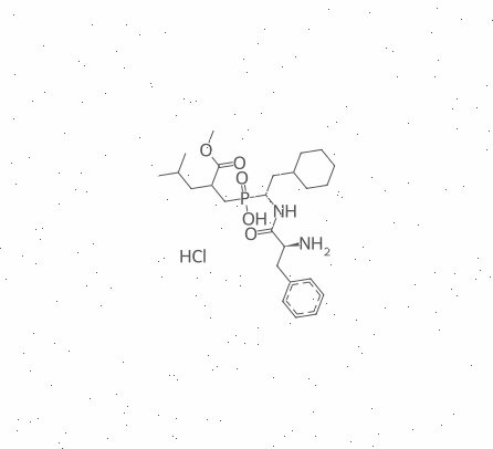 COC(=O)C(CC(C)C)CP(=O)(O)C(CC1CCCCC1)NC(=O)[C@@H](N)Cc1ccccc1.Cl